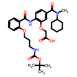 CN(C(=O)c1ccc(NC(=O)c2ccccc2OCCCNC(=O)OC(C)(C)C)c(OCC(=O)O)c1)C1CCCCC1